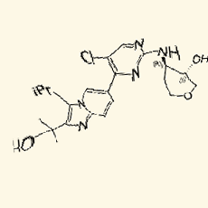 CC(C)c1c(C(C)(C)O)nc2ccc(-c3nc(N[C@@H]4CCOC[C@H]4O)ncc3Cl)cn12